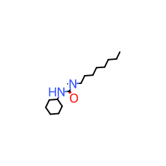 CCCCCCCC[N]C(=O)NC1CCCCC1